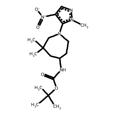 Cn1ncc([N+](=O)[O-])c1N1CCC(NC(=O)OC(C)(C)C)CC(C)(C)C1